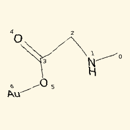 CNCC(=O)[O][Au]